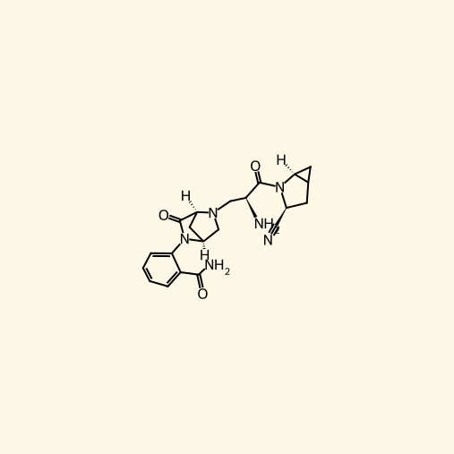 N#C[C@@H]1CC2C[C@@H]2N1C(=O)[C@@H](N)CN1C[C@@H]2C[C@H]1C(=O)N2c1ccccc1C(N)=O